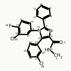 CNC(=O)c1nc(-c2ccccc2)n(-c2ccc(F)c(Cl)c2)c1-c1cccc(Cl)c1